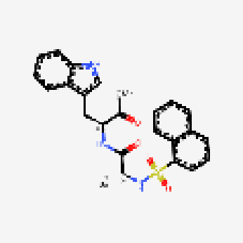 CC[C@H](C)[C@H](NS(=O)(=O)c1cccc2ccccc12)C(=O)N[C@@H](Cc1c[nH]c2ccccc12)C(=O)OC